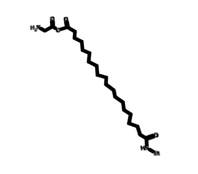 CCNC(=O)CCCCCCCCCCCCCCCCCCC(=O)OC(=O)CN